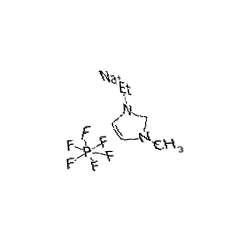 CCN1C=CN(C)C1.F[P-](F)(F)(F)(F)F.[Na+]